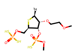 [3H][C@@H]1S[C@H](COP(=O)(S)S)[C@@H](OP(=O)(S)OC)[C@H]1OCCOC